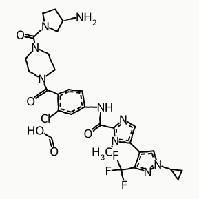 Cn1c(-c2cn(C3CC3)nc2C(F)(F)F)cnc1C(=O)Nc1ccc(C(=O)N2CCN(C(=O)N3CC[C@@H](N)C3)CC2)c(Cl)c1.O=CO